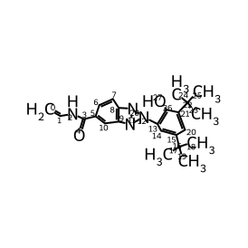 C=CNC(=O)c1ccc2c(c1)n1n(-c3cc(C(C)(C)C)cc(C(C)(C)C)c3O)n21